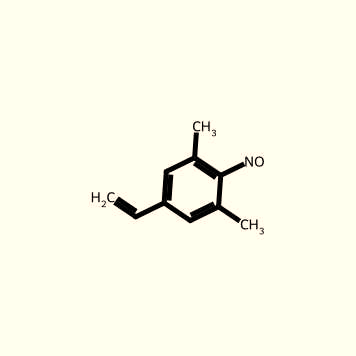 C=Cc1cc(C)c(N=O)c(C)c1